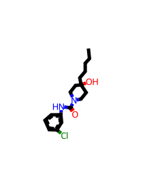 CCCCCC1(O)CCN(C(=O)Nc2cccc(Cl)c2)CC1